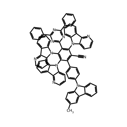 Cc1ccc2c(c1)c1ccccc1n2-c1ccc(-c2c(C#N)c(-n3c4ccccc4c4ncccc43)c(-c3nc(-c4ccccc4)nc(-c4ccccc4)n3)c(-n3c4ccccc4c4ncccc43)c2-n2c3ccccc3c3ncccc32)cc1